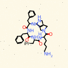 CC(C)CC(NC(=O)C(Cc1ccccc1)NC(=O)C(N)Cc1ccccc1)C(=O)NC(CCCCN)C(=O)N1CC2=C(CNC2)C1